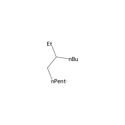 CCCC[CH]CC(CC)CCCC